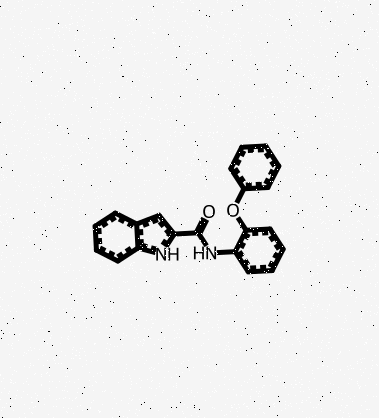 O=C(Nc1ccccc1Oc1ccccc1)c1cc2ccccc2[nH]1